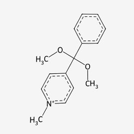 COC(OC)(c1ccccc1)c1cc[n+](C)cc1